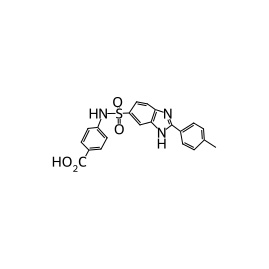 Cc1ccc(-c2nc3ccc(S(=O)(=O)Nc4ccc(C(=O)O)cc4)cc3[nH]2)cc1